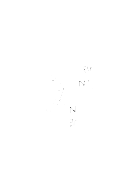 O=C1C(=O)N(Br)CCN1Br